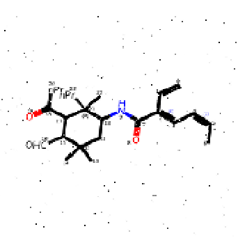 C=C/C(=C\C=C/C)C(=O)NC1CC(C)(C)C(C=O)C(C(=O)CCC)[C@@]1(C)CCC